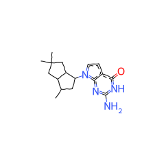 CC1CC(n2ccc3c(=O)[nH]c(N)nc32)C2CC(C)(C)CC12